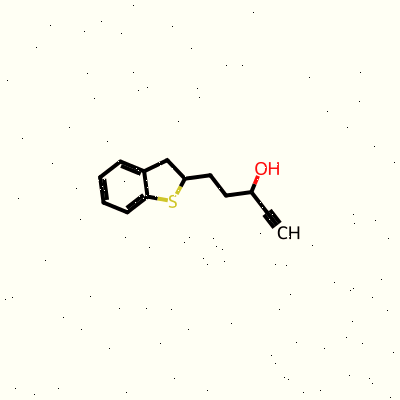 C#CC(O)CCC1Cc2ccccc2S1